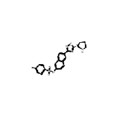 Cc1ccc(S(=O)(=O)Oc2ccc3cc(-c4noc([C@@H]5CCCN5)n4)ccc3c2)cc1